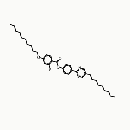 CCCCCCCCCCOc1ccc(C(=O)Oc2ccc(-c3ncc(CCCCCCCCC)cn3)cc2)c(F)c1